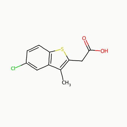 Cc1c(CC(=O)O)sc2ccc(Cl)cc12